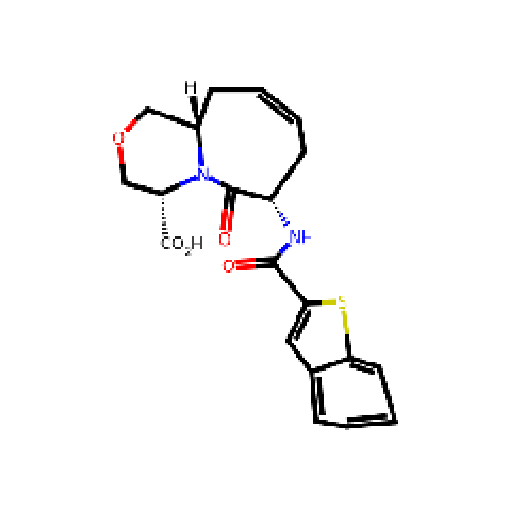 O=C(N[C@H]1C/C=C\C[C@H]2COC[C@@H](C(=O)O)N2C1=O)c1cc2ccccc2s1